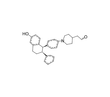 O=CCC1CCN(c2ccc([C@@H]3c4ccc(O)cc4CC[C@@H]3c3ccccc3)cc2)CC1